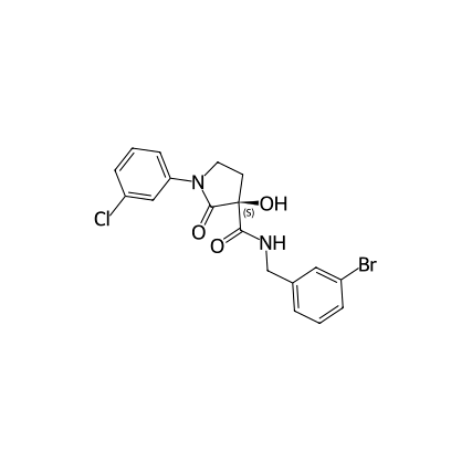 O=C(NCc1cccc(Br)c1)[C@@]1(O)CCN(c2cccc(Cl)c2)C1=O